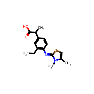 CCc1cc(C(C)C(=O)O)ccc1/N=c1\scc(C)n1C